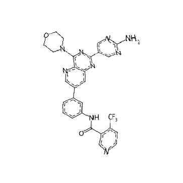 Nc1ncc(-c2nc(N3CCOCC3)c3ncc(-c4cccc(NC(=O)c5cnccc5C(F)(F)F)c4)cc3n2)cn1